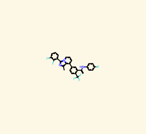 C=C(Nc1ccc(F)cc1)c1cc(-c2cccn3c(-c4cccc(F)c4F)nc(C)c23)ccc1C(F)(F)F